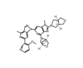 COc1ccncc1-c1cc2c(cnn2-c2cc3c(nc(N4C[C@H]5COC[C@H]5C4)n3C)c(N3C[C@H]4C[C@@H]3CO4)n2)c(C)n1